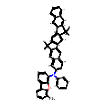 CC(C)(C)c1cccc2c1oc1c(N(c3ccccc3)c3ccc4cc5c(cc4c3)C(C)(C)c3cc4c(cc3-5)C(C)(C)c3cc5ccccc5cc3-4)cccc12